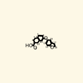 O=C(O)C1CCc2ccc(Oc3ccc4occc4c3)cc2C1